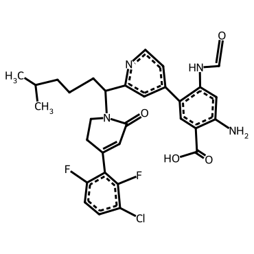 CC(C)CCCC(c1cc(-c2cc(C(=O)O)c(N)cc2NC=O)ccn1)N1CCC(c2c(F)ccc(Cl)c2F)=CC1=O